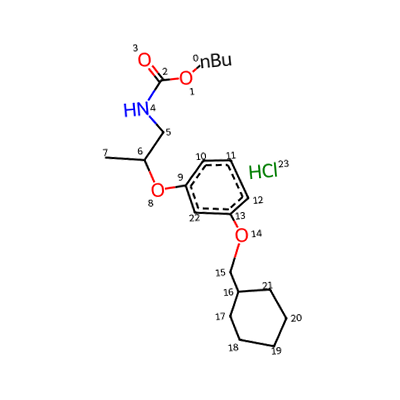 CCCCOC(=O)NCC(C)Oc1cccc(OCC2CCCCC2)c1.Cl